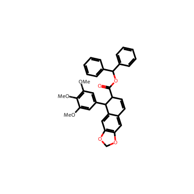 COc1cc(C2c3cc4c(cc3C=CC2C(=O)OC(c2ccccc2)c2ccccc2)OCO4)cc(OC)c1OC